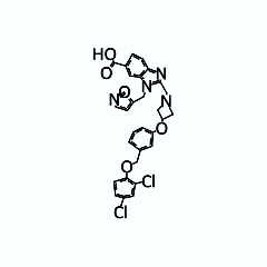 O=C(O)c1ccc2nc(CN3CC(Oc4cccc(COc5ccc(Cl)cc5Cl)c4)C3)n(Cc3ccno3)c2c1